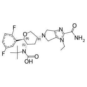 CCn1c(C(N)=O)nc2c1CN([C@H]1CO[C@H](c3cc(F)ccc3F)[C@@H](N(C(=O)O)C(C)(C)C)C1)C2